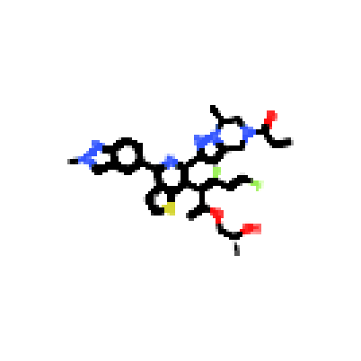 C=CC(=O)N1Cc2cc(-c3nc(-c4ccc5nn(C)cc5c4)c4ccsc4c3/C(C(=C)OC[C@@H](C)O)=C(F)/C=C/F)nn2[C@@H](C)C1